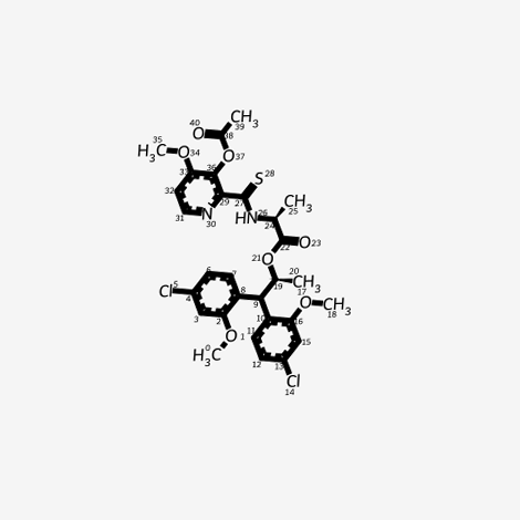 COc1cc(Cl)ccc1C(c1ccc(Cl)cc1OC)[C@H](C)OC(=O)[C@H](C)NC(=S)c1nccc(OC)c1OC(C)=O